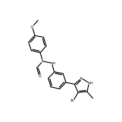 COc1ccc(N(C=O)Nc2cccc(-c3n[nH]c(C)c3Br)c2)cc1